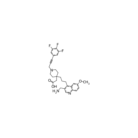 COc1ccc2ncc(CN)c(CCCC3(CC(=O)O)CCN(CC#Cc4cc(F)c(F)c(F)c4)CC3)c2c1